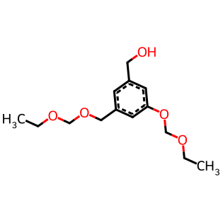 CCOCOCc1cc(CO)cc(OCOCC)c1